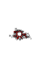 CC(=O)N[C@@H](CCCNC(=N)N)C(=O)N[C@H]1CCC(=O)NCCC[C@@H](C(=O)O)NC(=O)[C@H](Cc2c[nH]c3ccccc23)NC(=O)[C@H](CCCNC(=N)N)NC(=O)[C@@H](Cc2cc(F)c(F)c(F)c2)NC(=O)[C@H](CCC(N)=O)NC1=O